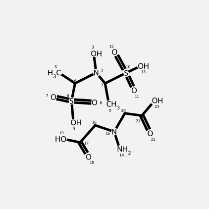 CC(N(O)C(C)S(=O)(=O)O)S(=O)(=O)O.NN(CC(=O)O)CC(=O)O